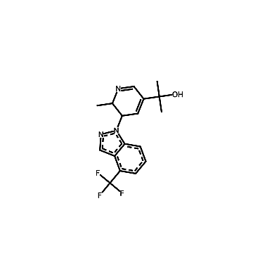 CC1N=CC(C(C)(C)O)=CC1n1ncc2c(C(F)(F)F)cccc21